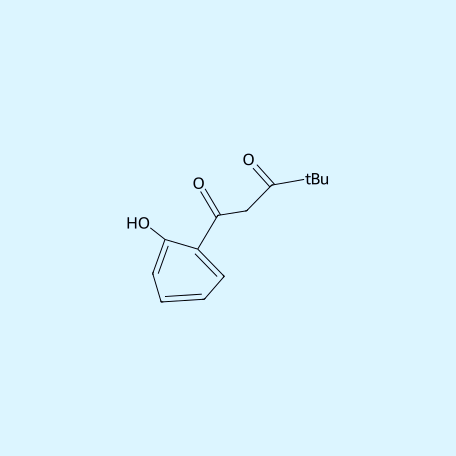 CC(C)(C)C(=O)CC(=O)c1ccccc1O